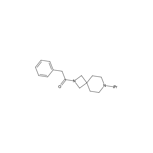 CC(C)N1CCC2(CC1)CN(C(=O)Cc1ccccc1)C2